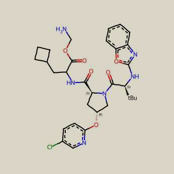 CC(C)(C)[C@H](Nc1nc2ccccc2o1)C(=O)N1C[C@H](Oc2ccc(Cl)cn2)C[C@H]1C(=O)NC(CC1CCC1)C(=O)OCN